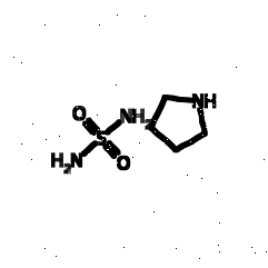 C1CCNC1.NS(N)(=O)=O